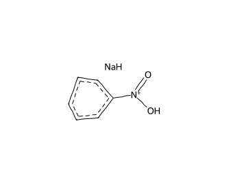 O=[N+](O)c1ccccc1.[NaH]